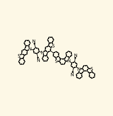 N#Cc1cc(-n2c3ccccc3c3c(-c4ccc5c(c4)sc4ccc6c(c7ccccc7n6-c6cc(C#N)c(-n7c8ccccc8c8c9c(ccc87)sc7ccccc79)cc6C#N)c45)c4sc5ccccc5c4cc32)c(C#N)cc1-n1c2ccccc2c2cc3sc4ccccc4c3cc21